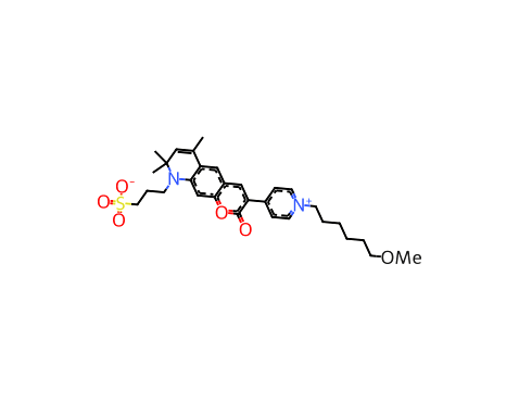 COCCCCCC[n+]1ccc(-c2cc3cc4c(cc3oc2=O)N(CCCS(=O)(=O)[O-])C(C)(C)C=C4C)cc1